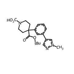 Cn1cc(-c2cccc(C3(C(=O)OC(C)(C)C)CCN(C(=O)O)CC3)c2)cn1